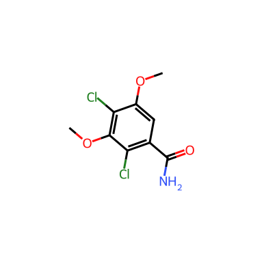 COc1cc(C(N)=O)c(Cl)c(OC)c1Cl